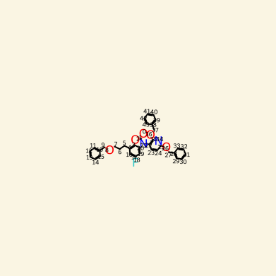 O=c1oc2c(CCCOCc3ccccc3)cc(F)cc2n1-c1ccc(OCc2ccccc2)nc1OCc1ccccc1